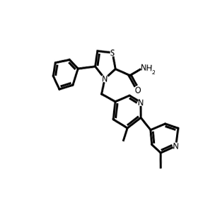 Cc1cc(-c2ncc(CN3C(c4ccccc4)=CSC3C(N)=O)cc2C)ccn1